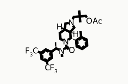 CC(=O)OCC(C)(C)CN1C[C@H]2CCN(C(=O)N(C)[C@H](C)c3cc(C(F)(F)F)cc(C(F)(F)F)c3)[C@@H](c3ccccc3C)[C@@H]2C1